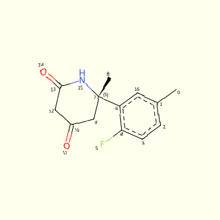 Cc1ccc(F)c([C@]2(C)CC(=O)CC(=O)N2)c1